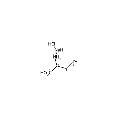 CC(C)CC(N)C(=O)O.Cl.[NaH]